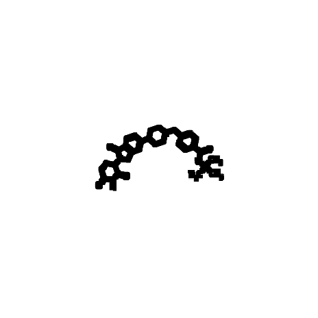 CC(C)(C)OC(=O)c1ccc(CN2CCC(c3ccc4c(c3)CN(C3CCC(=O)NC3=O)C4=O)CC2)cc1